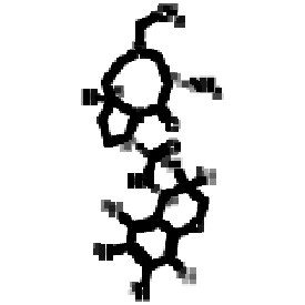 [2H]c1c([2H])c([2H])c2c(c1[2H])OCC([2H])([2H])[C@H]2NC(=O)[C@@H]1CC[C@@H]2CCN(CC(F)(F)F)C[C@H](N)C(=O)N21